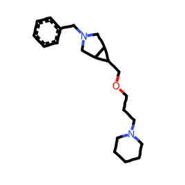 c1ccc(CN2CC3C(COCCCN4CCCCC4)C3C2)cc1